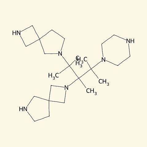 CC(C)(N1CCNCC1)C(C)(N1CC2(CCNC2)C1)C(C)(C)N1CCC2(CNC2)C1